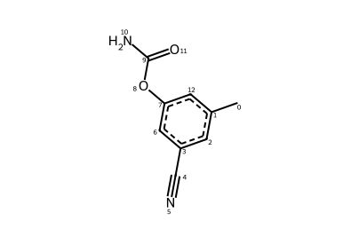 Cc1cc(C#N)cc(OC(N)=O)c1